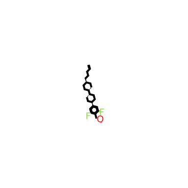 C=CCCC[C@H]1CC[C@H]([C@H]2CC[C@H](c3cc(F)c(COC)c(F)c3)CC2)CC1